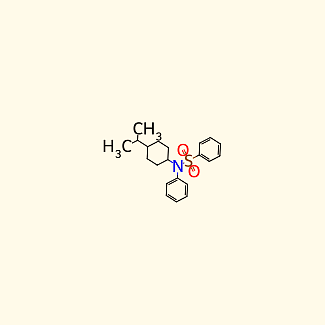 CC(C)C1CCC(N(c2ccccc2)S(=O)(=O)c2ccccc2)CC1